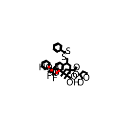 CC(CC(CSC(=S)c1ccccc1)c1ccc(C(C)(O)C(F)(F)F)cc1)(CC(C)(C(=O)OC(C)(C)c1ccccc1)C(C)(C)C(=O)O)C(=O)OC1CCOC1=O